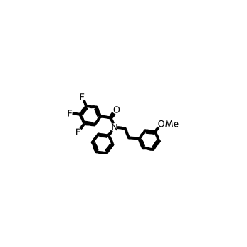 COc1cccc(CCN(C(=O)c2cc(F)c(F)c(F)c2)c2ccccc2)c1